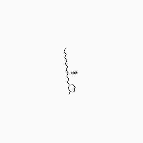 Br.CCCCCCCCCCCCN1CCOC(C)C1.N